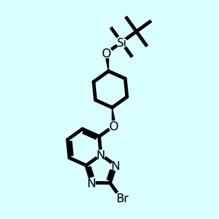 CC(C)(C)[Si](C)(C)O[C@H]1CC[C@@H](Oc2cccc3nc(Br)nn23)CC1